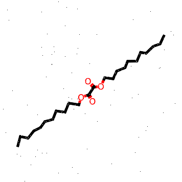 CCCCCCCCCCCOC(=O)C(=O)OCCCCCCCCCCC